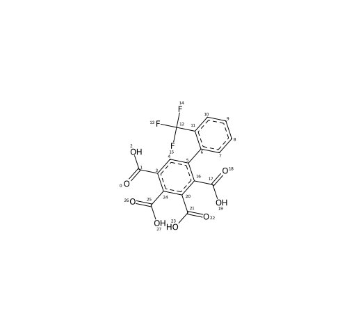 O=C(O)c1cc(-c2ccccc2C(F)(F)F)c(C(=O)O)c(C(=O)O)c1C(=O)O